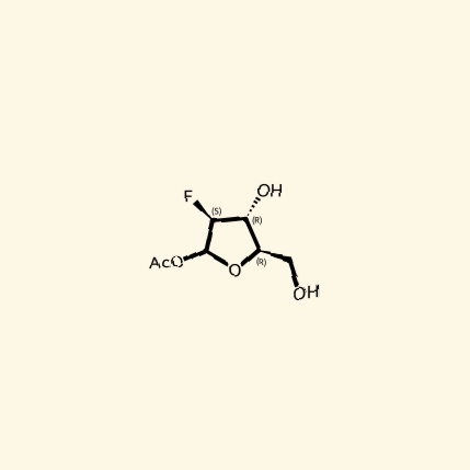 CC(=O)OC1O[C@H](CO)[C@@H](O)[C@@H]1F